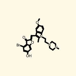 COc1ccc2c(c1)c(/C=C1\Oc3cc(O)cc(Br)c3C1=O)c(C)n2CCN1CCN(C)CC1